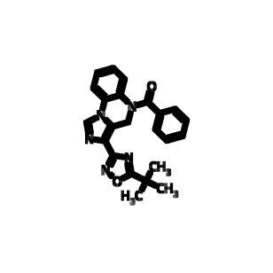 CC(C)(C)c1nc(-c2ncn3c2CN(C(=O)c2ccccc2)c2ccccc2-3)no1